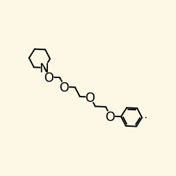 [c]1ccc(OCCOCCOCON2CCCCC2)cc1